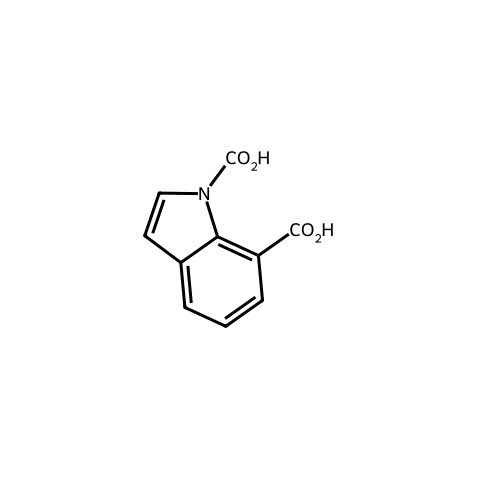 O=C(O)c1cccc2ccn(C(=O)O)c12